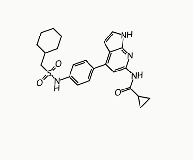 O=C(Nc1cc(-c2ccc(NS(=O)(=O)CC3CCCCC3)cc2)c2cc[nH]c2n1)C1CC1